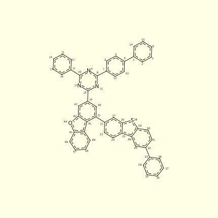 c1ccc(-c2ccc(-c3nc(-c4ccccc4)nc(-c4cc(-c5ccc6c(c5)sc5ccc(-c7ccccc7)cc56)c5c(c4)oc4ccccc45)n3)cc2)cc1